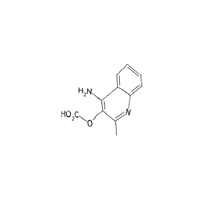 Cc1nc2ccccc2c(N)c1OC(=O)O